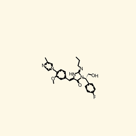 CCC/N=C1\N/C(=C\c2ccc(-n3cnc(C)c3)c(OC)c2)C(=O)N1[C@H](CO)c1ccc(F)cc1